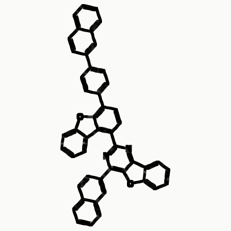 c1ccc2cc(-c3ccc(-c4ccc(-c5nc(-c6ccc7ccccc7c6)c6oc7ccccc7c6n5)c5c4oc4ccccc45)cc3)ccc2c1